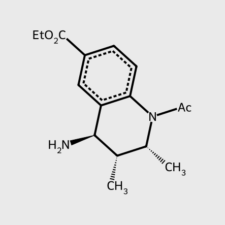 CCOC(=O)c1ccc2c(c1)[C@H](N)[C@@H](C)[C@@H](C)N2C(C)=O